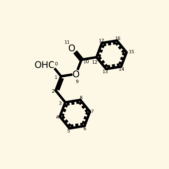 O=CC(=Cc1ccccc1)OC(=O)c1ccccc1